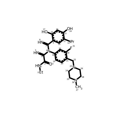 CCNC(=O)C(=N)N(C(=N)c1cc(C(C)C)c(O)cc1O)c1ccc(CN2CCN(C)CC2)c(F)c1